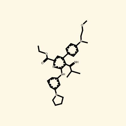 CCOC(=O)c1cc(-c2ccc(N(C)CCOC)cc2)c(C(=N)C(C)C)c(Nc2cccc(N3CCCC3)c2)n1